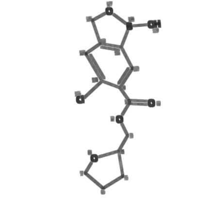 O=C(OCC1CCCO1)c1cc2c(cc1Cl)COB2O